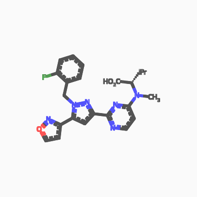 CC(C)[C@@H](C(=O)O)N(C)c1ccnc(-c2cc(-c3ccon3)n(Cc3ccccc3F)n2)n1